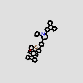 C1=C(c2ccccc2)\N=C(\c2ccc3c4ccccc4c4ccccc4c3c2)CC\C=C/1c1ccc(-c2cccc3c2Sc2ccccc2C32c3ccccc3C3(c4ccccc4-c4ccccc43)c3ccccc32)cc1